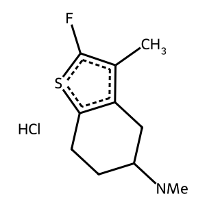 CNC1CCc2sc(F)c(C)c2C1.Cl